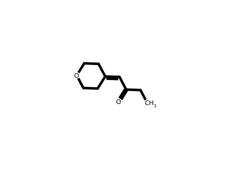 CCC(=O)C=C1CCOCC1